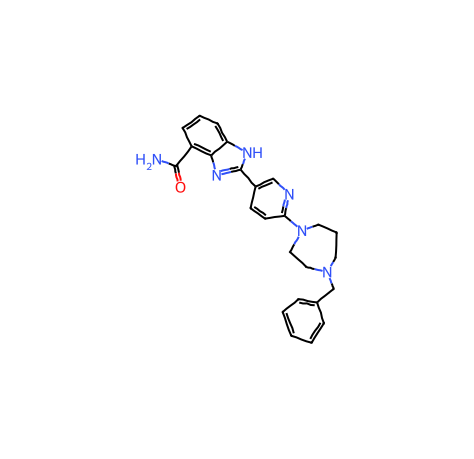 NC(=O)c1cccc2[nH]c(-c3ccc(N4CCCN(Cc5ccccc5)CC4)nc3)nc12